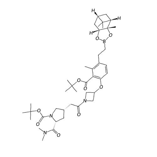 Cc1c(CCB2O[C@@H]3C[C@@H]4C[C@@H](C4(C)C)[C@]3(C)O2)ccc(OC2CN(C(=O)C[C@@H]3C[C@H](C(=O)N(C)C)N(C(=O)OC(C)(C)C)C3)C2)c1C(=O)OC(C)(C)C